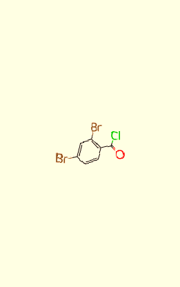 O=C(Cl)c1ccc(Br)cc1Br